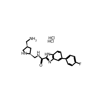 Cl.Cl.NC[C@@H]1CN[C@H](CNC(=O)c2nc3cc(-c4ccc(F)cc4)ccc3[nH]2)C1